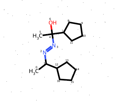 CC(N=NC(C)(O)C1CCCC1)C1CCCC1